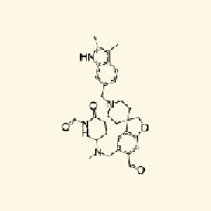 Cc1[nH]c2cc(CN3CCC4(CC3)COc3cc(C=O)c(CN(C)C(C)CCC(=O)NC=O)cc34)ccc2c1C